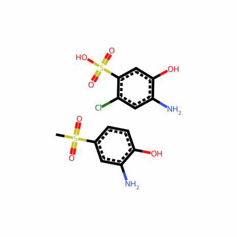 CS(=O)(=O)c1ccc(O)c(N)c1.Nc1cc(Cl)c(S(=O)(=O)O)cc1O